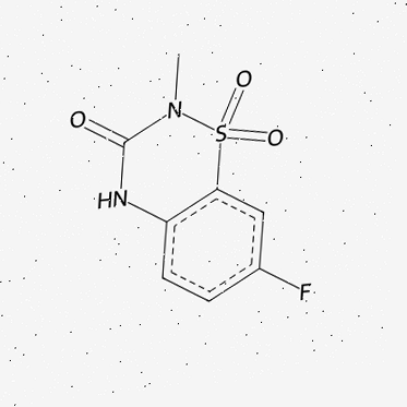 CN1C(=O)Nc2ccc(F)cc2S1(=O)=O